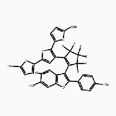 CC(C)(C)c1ccc(-c2oc3cc(O)c(O)cc3c2C2=C(c3cc(-c4ccc(C(C)(C)C)s4)sc3-c3ccc(C(C)(C)C)s3)C(F)(F)C(F)(F)C2(F)F)cc1